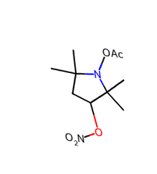 CC(=O)ON1C(C)(C)CC(O[N+](=O)[O-])C1(C)C